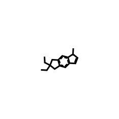 CCC1(CC)Cc2cc3c(cc2C1)[C](C)C=C3